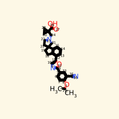 CC(C)Oc1ccc(-c2ncc(-c3cccc4c3CCC43CCN(CC4(C(=O)O)CC4)C3)o2)cc1C#N